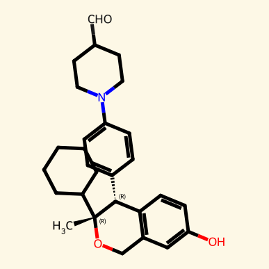 C[C@]1(C2CCCCC2)OCc2cc(O)ccc2[C@H]1c1ccc(N2CCC(C=O)CC2)cc1